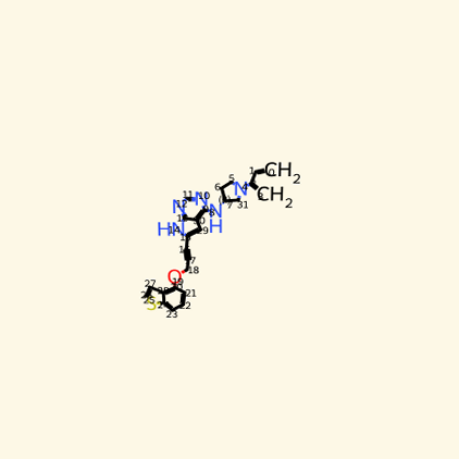 C=CC(=C)N1CC[C@@H](Nc2ncnc3[nH]c(C#CCOc4cccc5sccc45)cc23)C1